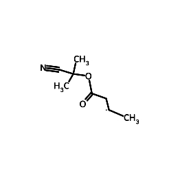 C[CH]CC(=O)OC(C)(C)C#N